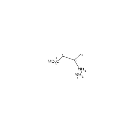 CC(N)CC(=O)O.N